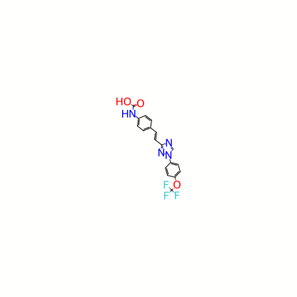 O=C(O)Nc1ccc(C=Cc2ncn(-c3ccc(OC(F)(F)F)cc3)n2)cc1